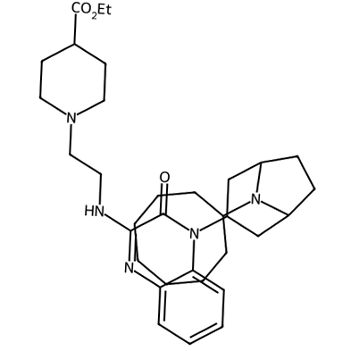 CCOC(=O)C1CCN(CCNc2nc3ccccc3n(C3CC4CCC(C3)N4C3CCCCCCC3)c2=O)CC1